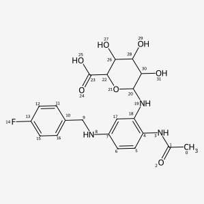 CC(=O)Nc1ccc(NCc2ccc(F)cc2)cc1NC1OC(C(=O)O)C(O)C(O)C1O